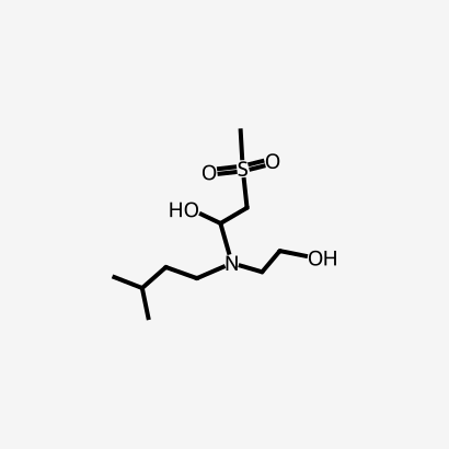 CC(C)CCN(CCO)C(O)CS(C)(=O)=O